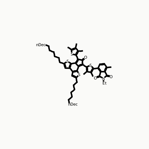 CCCCCCCCCCCCCCCCc1cc2c(s1)c1c(c3sc(CCCCCCCCCCCCCCCC)cc32)=C(c2sc(-c3ccc(C)c4c3C(=O)N(CC)C4=O)c(C)c2C)C(=O)C=1c1sc(C)c(C)c1C